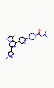 CN(C)CC(=O)N1CCN(c2ccc(-c3nc(-c4cnn(C)c4)cn4ncc(Cl)c34)cn2)CC1